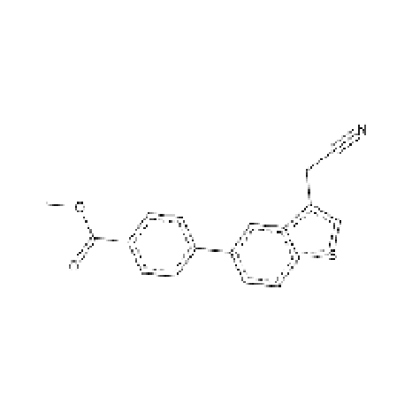 COC(=O)c1ccc(-c2ccc3scc(CC#N)c3c2)cc1